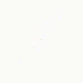 CC(=O)NCC(=O)N1CC(=O)C2C1CCN2C(=O)C(CC(C)C)NC(=O)c1ccc(N(C)C)cc1